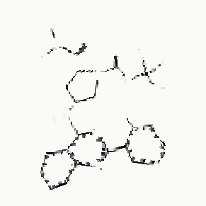 Cc1ccccc1-c1nc(N[C@H]2C[C@H](C(=O)N(C)C)N(C(=O)OC(C)(C)C)C2)c2ccccc2n1